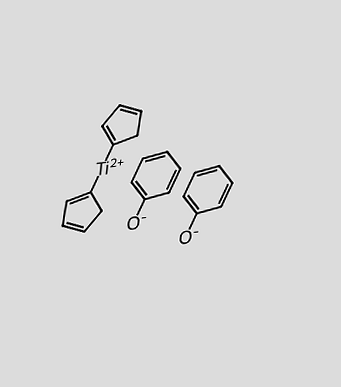 C1=CC[C]([Ti+2][C]2=CC=CC2)=C1.[O-]c1ccccc1.[O-]c1ccccc1